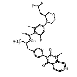 Cc1cc(N2CCOC[C@@H]2CC(F)F)cc(F)c1C(=O)NC(Cc1ccc(-n2c(=O)c3ccncc3n(C)c2=O)nc1)C(=O)O